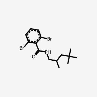 CC(CPC(=O)c1c(Br)cccc1Br)CC(C)(C)C